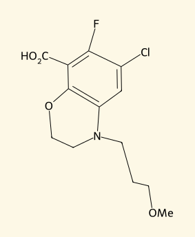 COCCCN1CCOc2c1cc(Cl)c(F)c2C(=O)O